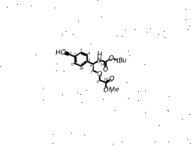 C#Cc1ccc([C@H](COCC(=O)OC)NC(=O)OC(C)(C)C)cc1